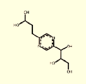 OCC(O)C(O)c1cnc(CCC(O)O)cn1